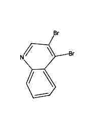 Brc1cnc2ccccc2c1Br